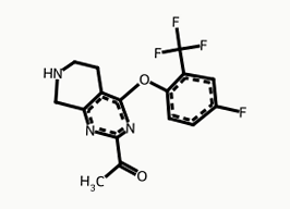 CC(=O)c1nc2c(c(Oc3ccc(F)cc3C(F)(F)F)n1)CCNC2